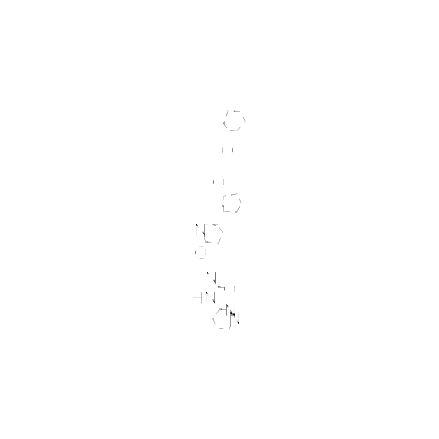 O=C(Nc1cccnn1)N1CC(Oc2ccc(-c3cccc(OCCOCc4ccccc4)c3)cn2)C1